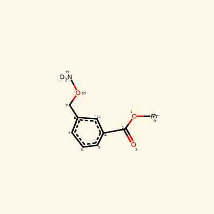 CC(C)OC(=O)c1cccc(CO[N+](=O)[O-])c1